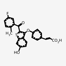 Cc1ccc(F)cc1C(=O)c1sc2cc(O)ccc2c1Oc1ccc(/C=C/C(=O)O)cc1